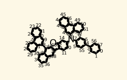 c1ccc(-c2ccc(N(c3ccc4c(c3)oc3c(-c5cc6ccccc6c6ccccc56)c5ccccc5cc34)c3cc4ccccc4c4ccccc34)cc2)cc1